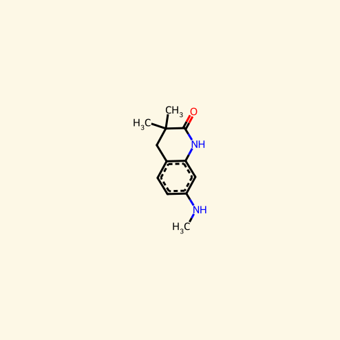 CNc1ccc2c(c1)NC(=O)C(C)(C)C2